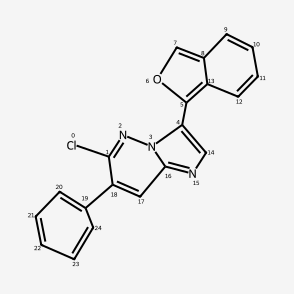 Clc1nn2c(-c3occ4ccccc34)cnc2cc1-c1ccccc1